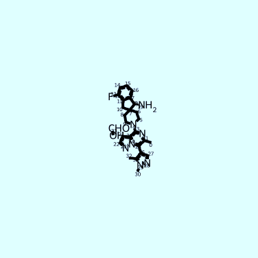 Cc1nc(N2CCC3(CC2)Cc2c(F)cccc2[C@H]3N)c2ccnn2c1-c1cnn(C)c1C.O=CO